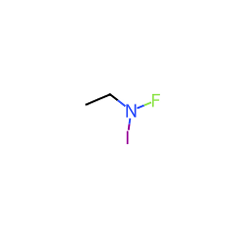 CCN(F)I